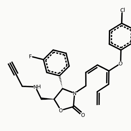 C#CCNC[C@@H]1OC(=O)N(C/C=C\C(=C/C=C)Oc2ccc(Cl)cc2)[C@H]1c1cccc(F)c1